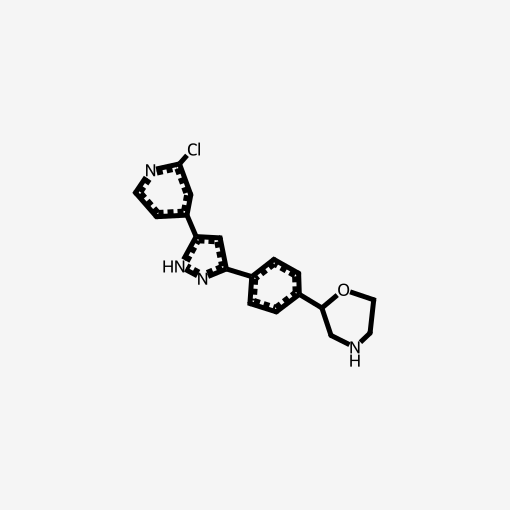 Clc1cc(-c2cc(-c3ccc(C4CNCCO4)cc3)n[nH]2)ccn1